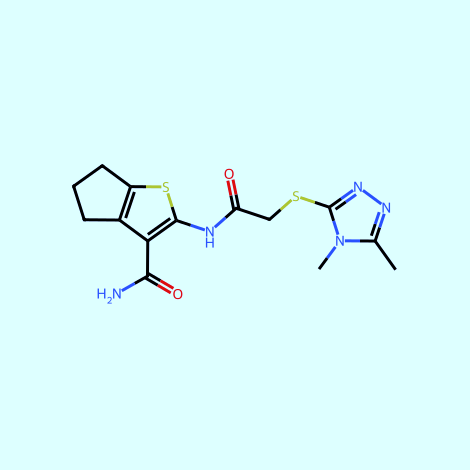 Cc1nnc(SCC(=O)Nc2sc3c(c2C(N)=O)CCC3)n1C